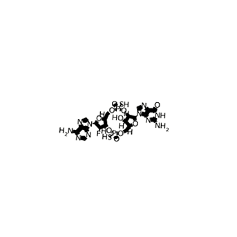 Nc1nc2c(ncn2[C@@H]2O[C@@H]3CO[P@@](=O)(S)O[C@H]4[C@H](F)[C@H](n5cnc6c(N)ncnc65)O[C@@H]4CO[P@@](=O)(S)O[C@@H]2[C@@H]3O)c(=O)[nH]1